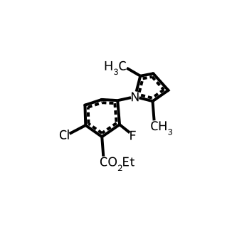 CCOC(=O)c1c(Cl)ccc(-n2c(C)ccc2C)c1F